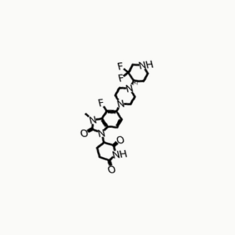 Cn1c(=O)n(C2CCC(=O)NC2=O)c2ccc(N3CCN([C@@H]4CCNCC4(F)F)CC3)c(F)c21